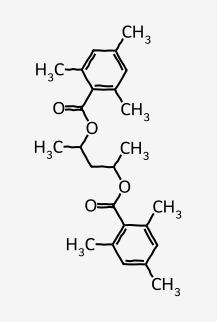 Cc1cc(C)c(C(=O)OC(C)CC(C)OC(=O)c2c(C)cc(C)cc2C)c(C)c1